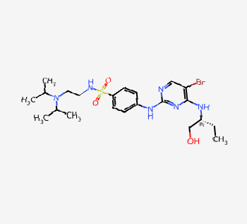 CC[C@H](CO)Nc1nc(Nc2ccc(S(=O)(=O)NCCN(C(C)C)C(C)C)cc2)ncc1Br